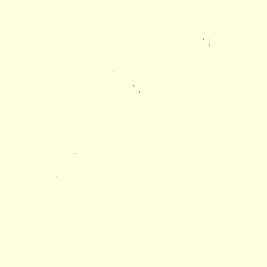 COC12CCC(c3ccc(C(=O)N[CH]CCCN)cc3)(CC1)CC2